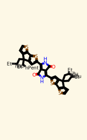 CCCCCC(CC)C1(CC(CC)CCCC)c2ccsc2-c2sc(C3=C4C(=O)NC(c5cc6c(s5)-c5sccc5C6(CC(CC)CCCC)CC(CC)CCCC)=C4C(=O)N3)cc21